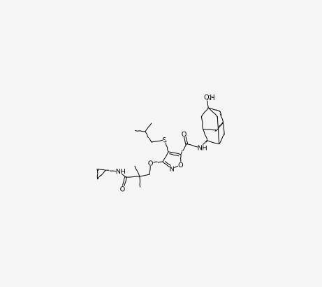 CC(C)CSc1c(OCC(C)(C)C(=O)NC2CC2)noc1C(=O)NC1C2CC3CC1CC(O)(C3)C2